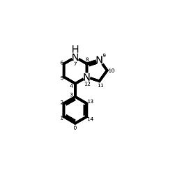 c1ccc(C2CCNC3=NCCN32)cc1